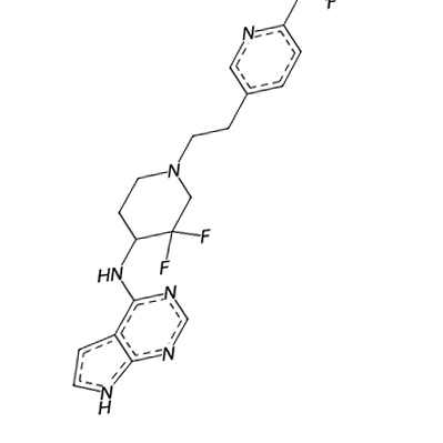 FC(F)(F)c1ccc(CCN2CCC(Nc3ncnc4[nH]ccc34)C(F)(F)C2)cn1